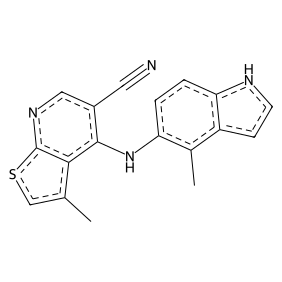 Cc1c(Nc2c(C#N)cnc3scc(C)c23)ccc2[nH]ccc12